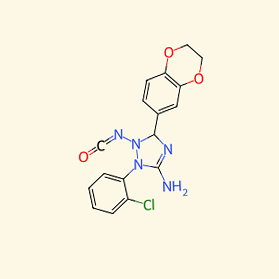 NC1=NC(c2ccc3c(c2)OCCO3)N(N=C=O)N1c1ccccc1Cl